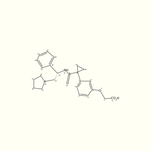 O=C(O)COc1cccc(C2(C(=O)N[C@H](CN3CCCC3)c3ccccc3)CC2)c1